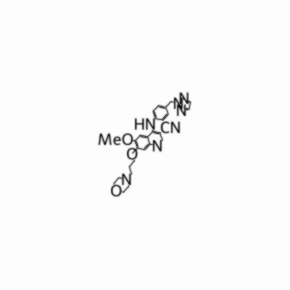 COc1cc2c(Nc3ccc(Cn4nccn4)cc3)c(C#N)cnc2cc1OCCCN1CCOCC1